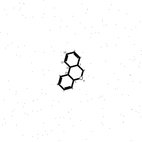 C1=CC2COC3C=CC=CC3C2C=C1